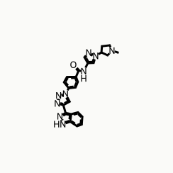 CN1CCC(n2cc(NC(=O)c3ccc(-n4cc(-c5n[nH]c6ccccc56)nn4)cc3)cn2)C1